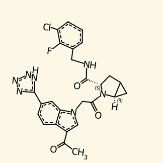 CC(=O)c1cn(CC(=O)N2[C@@H]3CC3C[C@H]2C(=O)NCc2cccc(Cl)c2F)c2cc(-c3nnn[nH]3)ccc12